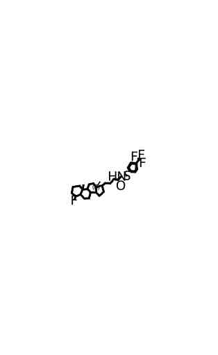 CC12CCCC(F)C1CCC1C2CC[C@]2(C)C(CCCC(=O)NSc3ccc(C(F)(F)F)cc3)CCC12